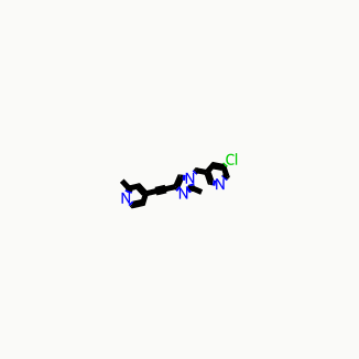 Cc1cc(C#Cc2cn(Cc3cncc(Cl)c3)c(C)n2)ccn1